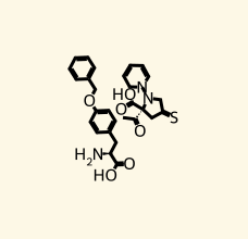 CC(=O)[C@@]1(C(=O)O)CC(=S)CN1N1C=CC=CC1.N[C@@H](Cc1ccc(OCc2ccccc2)cc1)C(=O)O